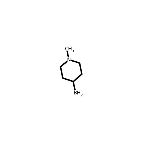 BC1CCN(C)CC1